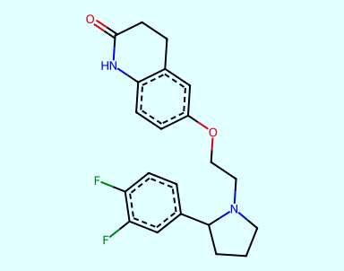 O=C1CCc2cc(OCCN3CCCC3c3ccc(F)c(F)c3)ccc2N1